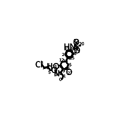 CC/C(=N/OC/C=C/Cl)C1=C(O)CC(c2ccc(NS(C)(=O)=O)cc2)CC1=O